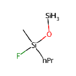 CCC[Si](C)(F)O[SiH3]